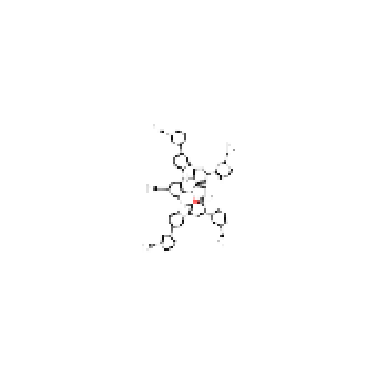 Cc1cc(-c2c(-n3c4ccc(-c5cccc(C#N)c5)cc4c4cc(-c5cccc(C#N)c5)ccc43)cc(C#N)cc2-n2c3ccc(-c4cccc(C#N)c4)cc3c3cc(-c4cccc(C#N)c4)ccc32)nc(C)n1